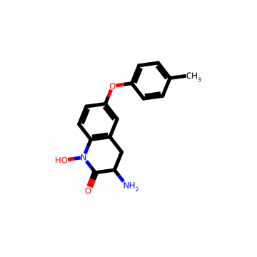 Cc1ccc(Oc2ccc3c(c2)CC(N)C(=O)N3O)cc1